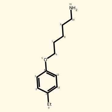 CCc1ccc(OCCCCCN)cc1